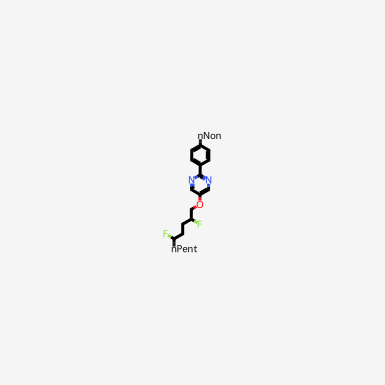 CCCCCCCCCc1ccc(-c2ncc(OCC(F)CCC(F)CCCCC)cn2)cc1